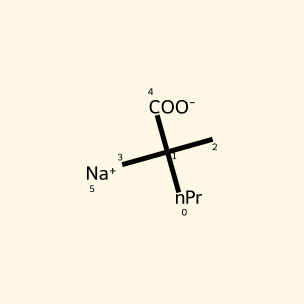 CCCC(C)(C)C(=O)[O-].[Na+]